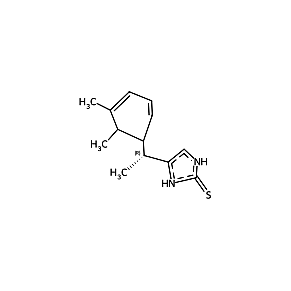 CC1=CC=CC([C@@H](C)c2c[nH]c(=S)[nH]2)C1C